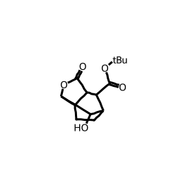 CC(C)(C)OC(=O)C1C2CCC3C(OC(=O)C31)C2O